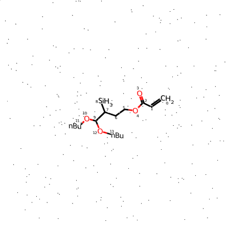 C=CC(=O)OCCC([SiH3])C(OCCCC)OCCCC